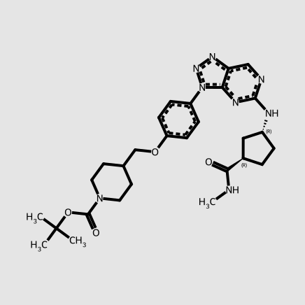 CNC(=O)[C@@H]1CC[C@@H](Nc2ncc3nnn(-c4ccc(OCC5CCN(C(=O)OC(C)(C)C)CC5)cc4)c3n2)C1